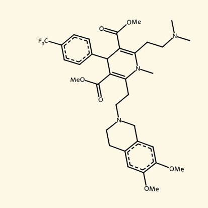 COC(=O)C1=C(CCN(C)C)N(C)C(CCN2CCc3cc(OC)c(OC)cc3C2)=C(C(=O)OC)C1c1ccc(C(F)(F)F)cc1